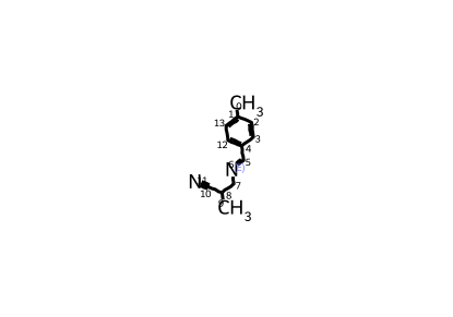 Cc1ccc(/C=N/CC(C)C#N)cc1